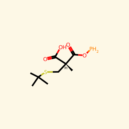 CC(C)(C)SC[C@](C)(C(=O)O)C(=O)OP